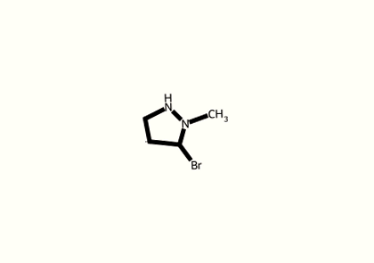 CN1NC[CH]C1Br